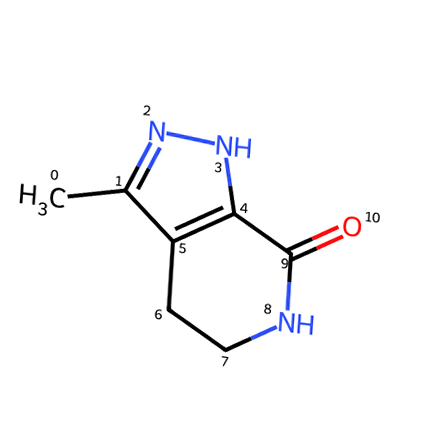 Cc1n[nH]c2c1CCNC2=O